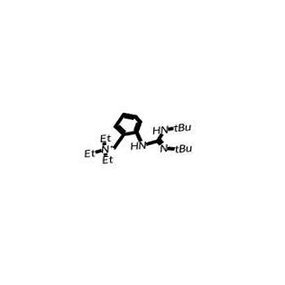 CC[N+](CC)(CC)Cc1ccccc1N/C(=N/C(C)(C)C)NC(C)(C)C